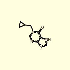 O=c1c2[nH]cnc2ncn1CC1CC1